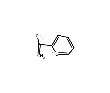 C=C(C)c1cccc[13cH]1